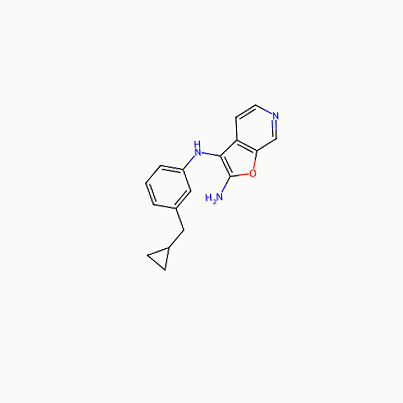 Nc1oc2cnccc2c1Nc1cccc(CC2CC2)c1